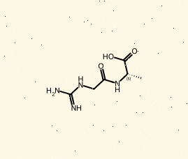 C[C@H](NC(=O)CNC(=N)N)C(=O)O